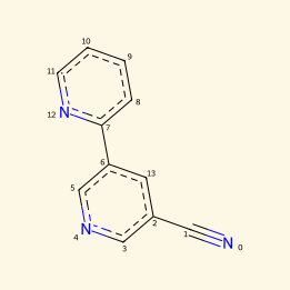 N#Cc1cncc(-c2ccc[c]n2)c1